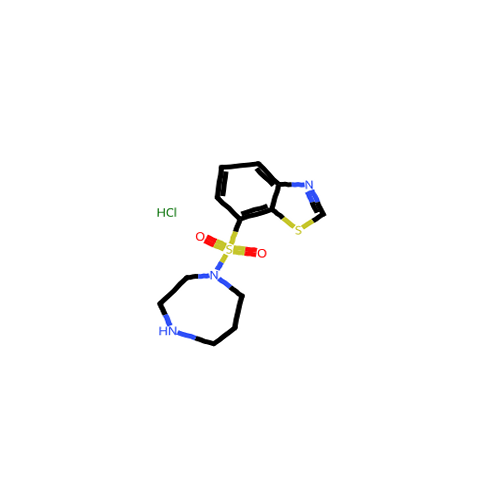 Cl.O=S(=O)(c1cccc2ncsc12)N1CCCNCC1